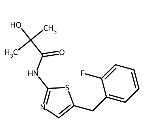 CC(C)(O)C(=O)Nc1ncc(Cc2ccccc2F)s1